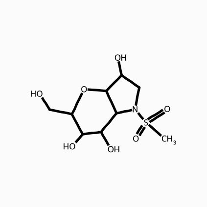 CS(=O)(=O)N1CC(O)C2OC(CO)C(O)C(O)C21